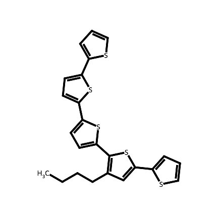 CCCCc1cc(-c2cccs2)sc1-c1ccc(-c2ccc(-c3cccs3)s2)s1